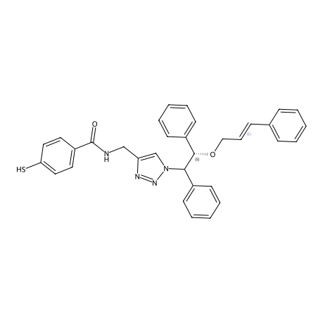 O=C(NCc1cn(C(c2ccccc2)[C@@H](OC/C=C/c2ccccc2)c2ccccc2)nn1)c1ccc(S)cc1